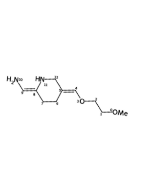 COCCO/C=C1\CC/C(=C/N)NC1